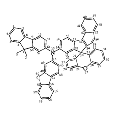 CC1(C)c2ccccc2-c2ccc(N(c3ccc4c(c3)C3(c5ccccc5Oc5ccccc53)c3ccc5ccccc5c3-4)c3ccc4c(c3)oc3ccccc34)cc21